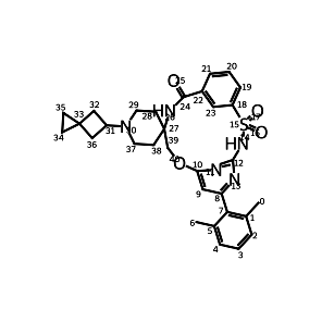 Cc1cccc(C)c1-c1cc2nc(n1)NS(=O)(=O)c1cccc(c1)C(=O)NC1(CCN(C3CC4(CC4)C3)CC1)CO2